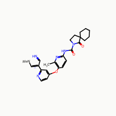 CN/C=C(\C=N)c1cc(Oc2ccc(NC(=O)N3CCC4(CCCCC4)C3=O)nc2C)ccn1